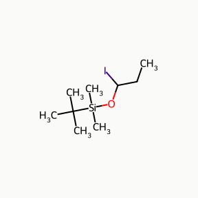 CCC(I)O[Si](C)(C)C(C)(C)C